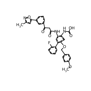 COc1ccc(COc2cc(NC(=O)O)c(NC(=O)CC(=O)c3cccc(-c4cc(C)no4)c3)cc2-c2ccccc2F)cc1